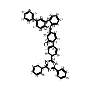 C1=CCC(c2nc(-c3ccccc3)nc(C3C=Cc4c(oc5cc(-n6c7ccccc7c7cc(-c8ccccc8)ccc76)ccc45)C3)n2)C=C1